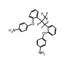 Nc1ccc(Oc2ccccc2C(F)(F)C(F)(c2ccccc2Oc2ccc(N)cc2)C(F)(F)F)cc1